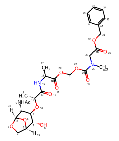 CC(=O)N[C@H]1[C@@H]2OC[C@@H](O2)[C@@H](O)[C@@H]1O[C@H](C)C(=O)N[C@@H](C)C(=O)OCOC(=O)N(C)CC(=O)OCc1ccccc1